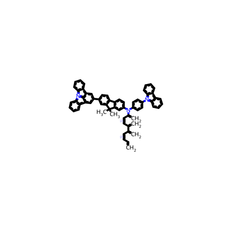 C=C/C=C\C(=C)C(=C)/C=C\C(=C)N(c1ccc(-n2c3ccccc3c3ccccc32)cc1)c1ccc2c(c1)C(C)(C)c1cc(-c3cc4c5ccccc5n5c6ccccc6c(c3)c45)ccc1-2